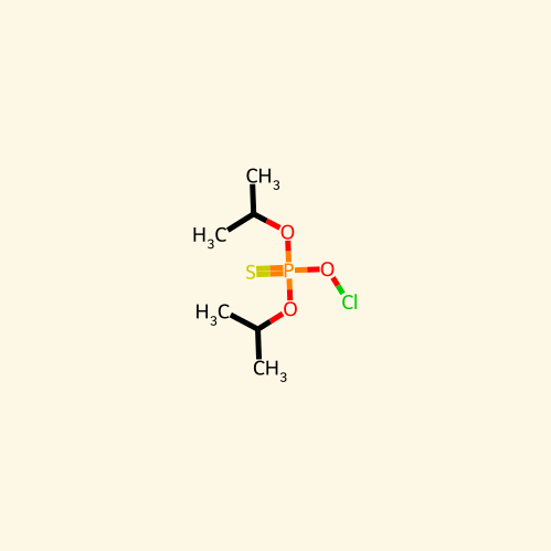 CC(C)OP(=S)(OCl)OC(C)C